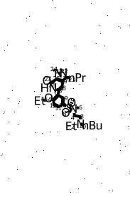 CCCCN(CC)CCN(C)S(=O)(=O)c1ccc(OCC)c(-c2cc3c(CCC)nn(C)c3c(=O)[nH]2)c1